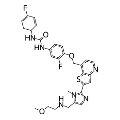 COCCNCc1cnc(-c2cc3nccc(COc4ccc(NC(=O)NC5C=CC(F)=CC5)cc4F)c3s2)n1C